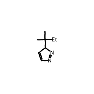 CCC(C)(C)[C]1C=CN=N1